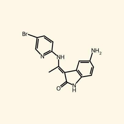 CC(Nc1ccc(Br)cn1)=C1C(=O)Nc2ccc(N)cc21